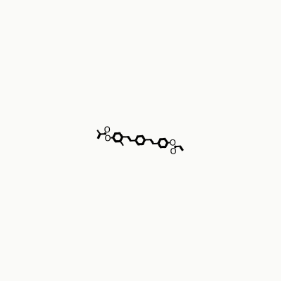 C=CC(=O)Oc1ccc(/C=C/c2ccc(/C=C/c3ccc(OC(=O)C(=C)C)cc3C)cc2)cc1